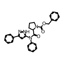 O=C(C1CCCN1C(=O)OCc1ccccc1)N(c1ccccc1)c1cc(-c2ccccc2)n[nH]1